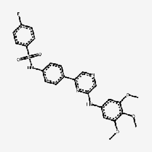 COc1cc(Nc2cncc(-c3ccc(NS(=O)(=O)c4ccc(F)cc4)cc3)n2)cc(OC)c1OC